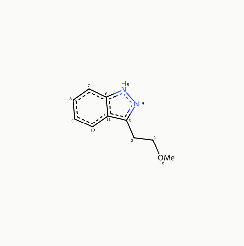 COCCc1n[nH]c2c[c]ccc12